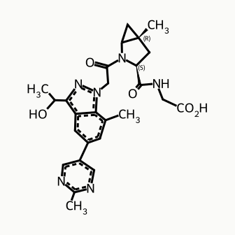 Cc1ncc(-c2cc(C)c3c(c2)c(C(C)O)nn3CC(=O)N2C3C[C@]3(C)C[C@H]2C(=O)NCC(=O)O)cn1